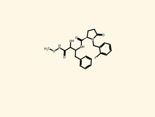 CONC(=O)C(O)C(Cc1ccccc1)NC(=O)[C@H]1CCC(=O)N1Cc1ccccc1F